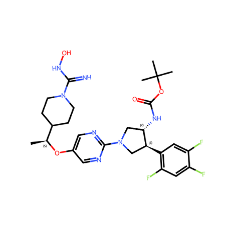 C[C@H](Oc1cnc(N2C[C@H](NC(=O)OC(C)(C)C)[C@@H](c3cc(F)c(F)cc3F)C2)nc1)C1CCN(C(=N)NO)CC1